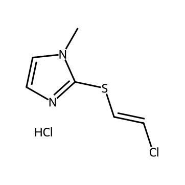 Cl.Cn1ccnc1SC=CCl